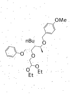 CCCC[C@H]([C@H](C)OCc1ccc(OC)cc1)[C@@H](COc1ccccc1)OCC(OCC)OCC